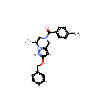 Cc1ccc(C(=O)N2Cc3cc(OCc4ccccc4)nn3[C@@H](C)C2)cc1